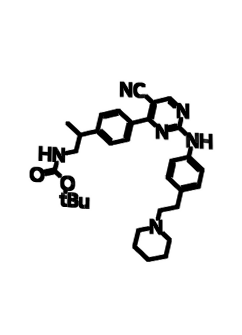 CC(CNC(=O)OC(C)(C)C)c1ccc(-c2nc(Nc3ccc(CCN4CCCCC4)cc3)ncc2C#N)cc1